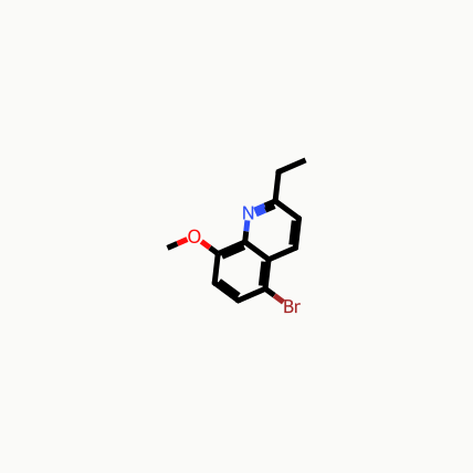 CCc1ccc2c(Br)ccc(OC)c2n1